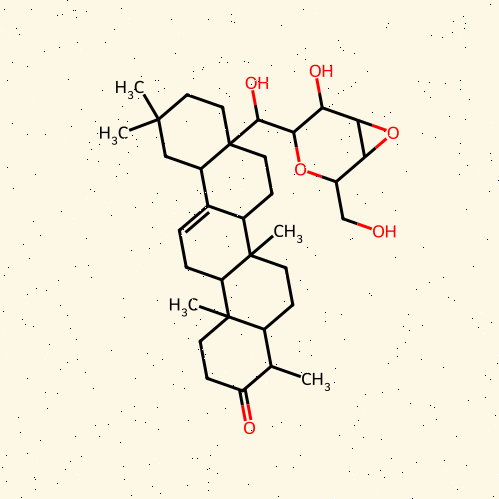 CC1C(=O)CCC2(C)C1CCC1(C)C3CCC4(C(O)C5OC(CO)C6OC6C5O)CCC(C)(C)CC4C3=CCC12